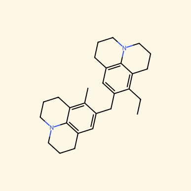 CCc1c(Cc2cc3c4c(c2C)CCCN4CCC3)cc2c3c1CCCN3CCC2